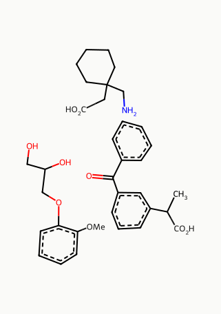 CC(C(=O)O)c1cccc(C(=O)c2ccccc2)c1.COc1ccccc1OCC(O)CO.NCC1(CC(=O)O)CCCCC1